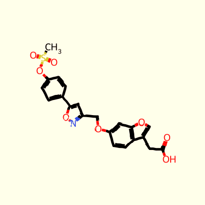 CS(=O)(=O)Oc1ccc(-c2cc(COc3ccc4c(CC(=O)O)coc4c3)no2)cc1